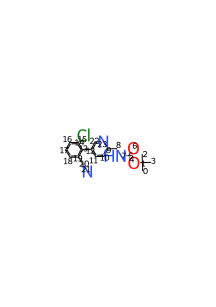 CC(C)(C)OC(=O)NCc1ccc(-c2c(Cl)cccc2C#N)cn1